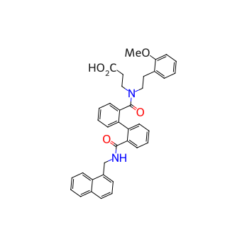 COc1ccccc1CCN(CCC(=O)O)C(=O)c1ccccc1-c1ccccc1C(=O)NCc1cccc2ccccc12